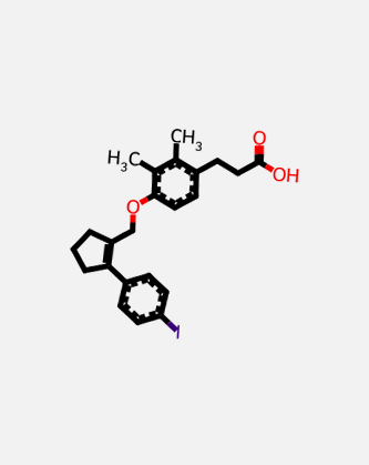 Cc1c(CCC(=O)O)ccc(OCC2=C(c3ccc(I)cc3)CCC2)c1C